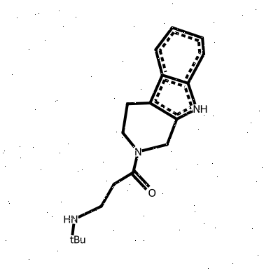 CC(C)(C)NCCC(=O)N1CCc2c([nH]c3ccccc23)C1